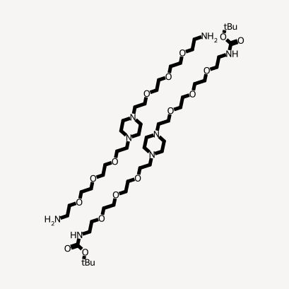 CC(C)(C)OC(=O)NCCOCCOCCOCCN1CCN(CCOCCOCCOCCNC(=O)OC(C)(C)C)CC1.NCCOCCOCCOCCN1CCN(CCOCCOCCOCCN)CC1